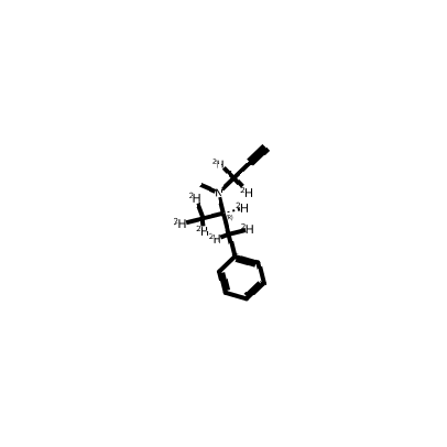 [2H]C([2H])(C#C)N(C)[C@]([2H])(C([2H])([2H])[2H])C([2H])([2H])c1ccccc1